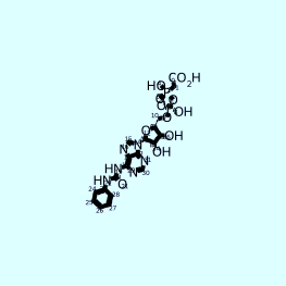 O=C(O)CP(=O)(O)OP(=O)(O)OC[C@H]1O[C@@H](n2cnc3c(NC(=O)Nc4ccccc4)ncnc32)[C@@H](O)C1O